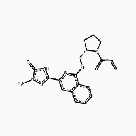 C=CC(=O)N1CCC[C@H]1COc1nc(-c2nn(N)c(=O)[nH]2)cc2ccccc12